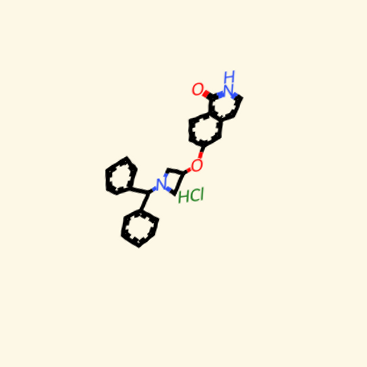 Cl.O=c1[nH]ccc2cc(OC3CN(C(c4ccccc4)c4ccccc4)C3)ccc12